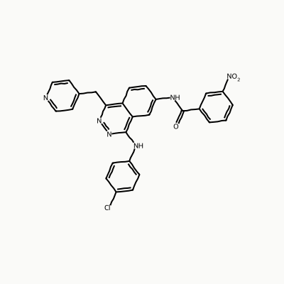 O=C(Nc1ccc2c(Cc3ccncc3)nnc(Nc3ccc(Cl)cc3)c2c1)c1cccc([N+](=O)[O-])c1